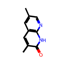 Cc1cnc2[nH]c(=O)c(C)cc2c1